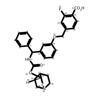 O=C(NC(c1ccccc1)c1cccc(OCc2ccc(C(=O)O)c(F)c2)c1)O[C@H]1CN2CCC1CC2